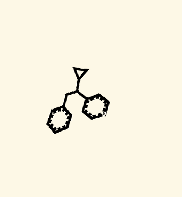 c1ccc(CC(c2ccncc2)C2CC2)cc1